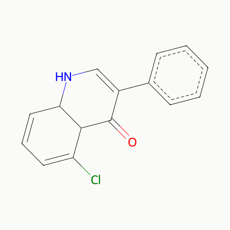 O=C1C(c2ccccc2)=CNC2C=CC=C(Cl)C12